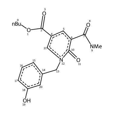 CCCCOC(=O)c1cc(C(=O)NC)c(=O)n(Cc2cccc(O)c2)c1